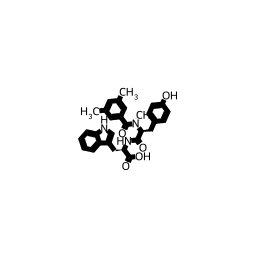 Cc1cc(C)cc(C(=O)N(C)[C@@H](Cc2ccc(O)cc2)C(=O)N[C@@H](Cc2c[nH]c3ccccc23)C(=O)O)c1